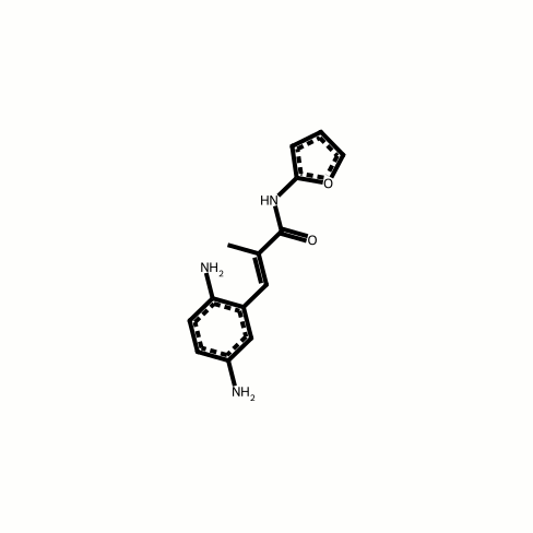 CC(=Cc1cc(N)ccc1N)C(=O)Nc1ccco1